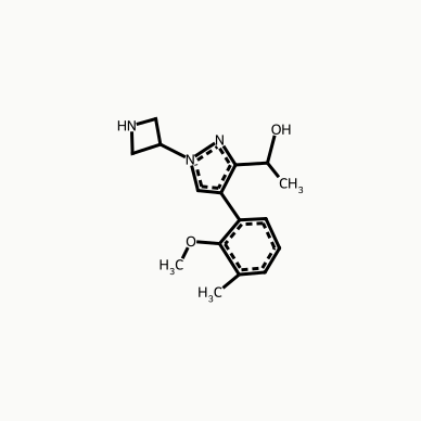 COc1c(C)cccc1-c1cn(C2CNC2)nc1C(C)O